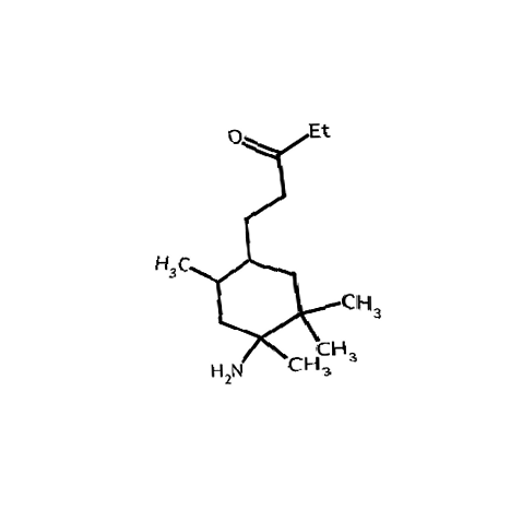 CCC(=O)CCC1CC(C)(C)C(C)(N)CC1C